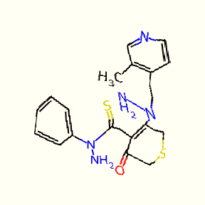 Cc1cnccc1CN(N)C1=C(C(=S)N(N)c2ccccc2)C(=O)CSC1